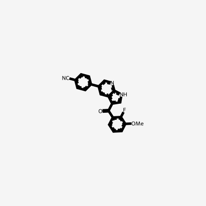 COc1cccc(C(=O)c2c[nH]c3ncc(-c4ccc(C#N)cc4)cc23)c1F